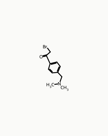 CN(C)Cc1ccc(C(=O)CBr)cc1